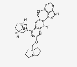 Fc1cc2c(N3C[C@H]4CC[C@@H](C3)N4)nc(OCC34CCCN3CCC4)nc2c(F)c1-c1c[nH]c2cccc(Cl)c12